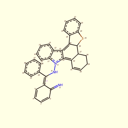 N=C1C=CC=C/C1=C(/Nn1c2c(c3ccccc31)=C1c3ccccc3SC1C1CCC=CC=21)c1ccccc1